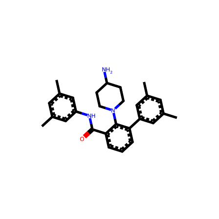 Cc1cc(C)cc(NC(=O)c2cccc(-c3cc(C)cc(C)c3)c2N2CCC(N)CC2)c1